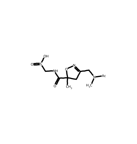 CC(=O)N(C)CC1=NOC(C)(C(=O)NCS(=O)O)C1